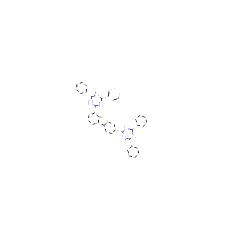 C1=CC(c2nc(-c3ccccc3)nc(-c3cccc4c3sc3cc(-c5nc(-c6ccccc6)nc(-c6ccccc6)n5)ccc34)n2)=CCC1